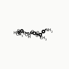 CNS(=O)(=O)c1cccc(OCC(O)CNC2COC3(CCN(S(=O)(=O)c4cc(C)cc(-c5ccc(CN)cc5)c4)CC3)C2)c1